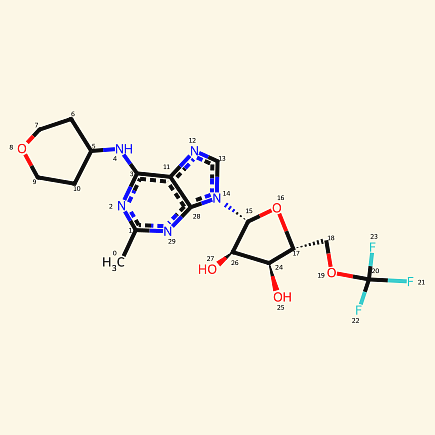 Cc1nc(NC2CCOCC2)c2ncn([C@@H]3O[C@H](COC(F)(F)F)[C@@H](O)[C@H]3O)c2n1